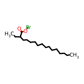 CCCCCCCCCCCCCCC(CC)C(=O)OBr